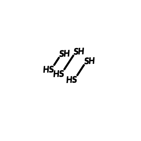 SS.SS.SS